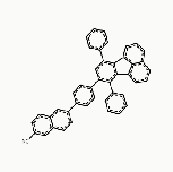 N#Cc1ccc2cc(-c3ccc(-c4cc(-c5ccccc5)c5c(c4-c4ccccc4)-c4cccc6cccc-5c46)cc3)ccc2c1